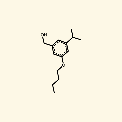 CCCCOc1cc([CH]O)cc(C(C)C)c1